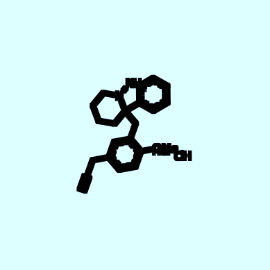 C#CCc1ccc(OC)c(CC2(c3ccccc3)CCCCN2N)c1.Cl.Cl